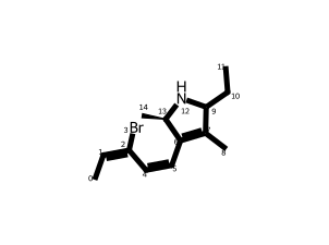 C/C=C(Br)\C=C/C1=C(C)C(CC)N[C@@H]1C